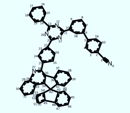 N#Cc1ccc(-c2cccc(-c3nc(-c4ccccc4)nc(-c4ccc(-c5nc6ccccc6c6c5-c5ccccc5C65c6ccccc6-c6ccccc65)cc4)n3)c2)cc1